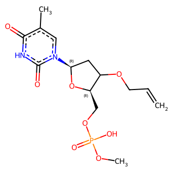 C=CCOC1C[C@H](n2cc(C)c(=O)[nH]c2=O)O[C@@H]1COP(=O)(O)OC